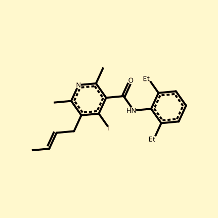 CC=CCc1c(C)nc(C)c(C(=O)Nc2c(CC)cccc2CC)c1I